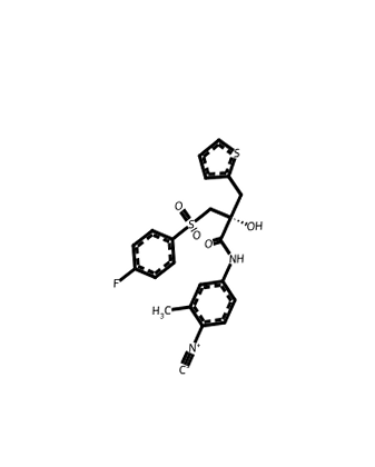 [C-]#[N+]c1ccc(NC(=O)[C@](O)(Cc2cccs2)CS(=O)(=O)c2ccc(F)cc2)cc1C